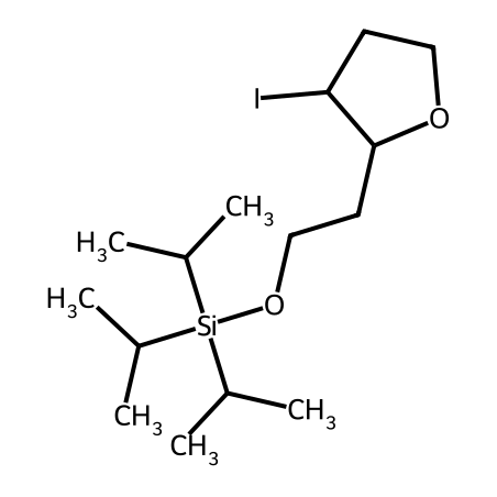 CC(C)[Si](OCCC1OCCC1I)(C(C)C)C(C)C